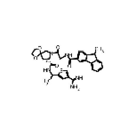 CC(NC(=O)[C@@H]1CC2(CN1C(=O)CNC(=O)c1ccc3c(c1)-c1ccccc1C3C)OCCO2)c1cc(C(=N)N)cs1